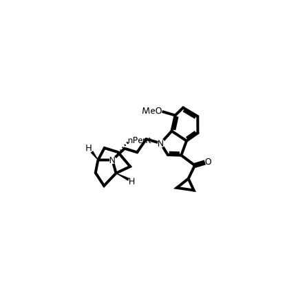 CCCCC[C@H]1C[C@H]2CC[C@@H](C1)N2CCCn1cc(C(=O)C2CC2)c2cccc(OC)c21